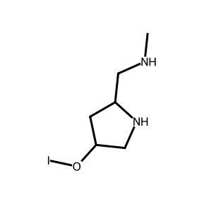 CNCC1CC(OI)CN1